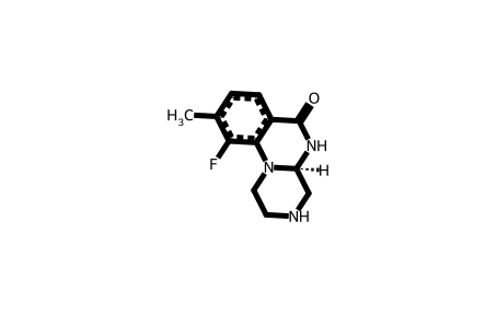 Cc1ccc2c(c1F)N1CCNC[C@@H]1NC2=O